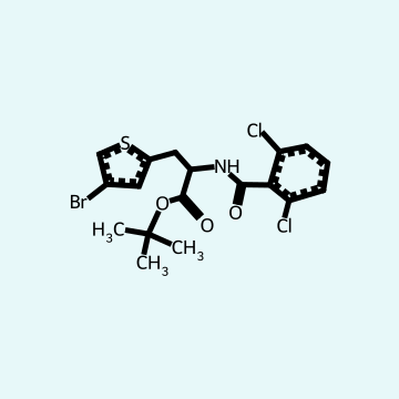 CC(C)(C)OC(=O)C(Cc1cc(Br)cs1)NC(=O)c1c(Cl)cccc1Cl